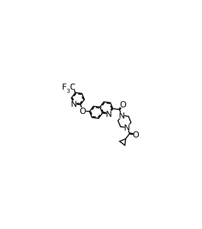 O=C(c1ccc2cc(Oc3ccc(C(F)(F)F)cn3)ccc2n1)N1CCN(C(=O)C2CC2)CC1